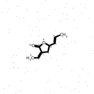 C/C=C1/CC(/C=C/C)OC1=O